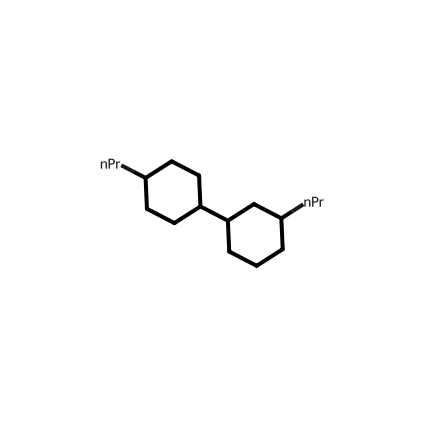 CCCC1CCC(C2CCCC(CCC)C2)CC1